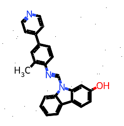 Cc1cc(-c2ccncc2)ccc1/N=C/n1c2ccccc2c2ccc(O)cc21